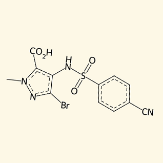 Cn1nc(Br)c(NS(=O)(=O)c2ccc(C#N)cc2)c1C(=O)O